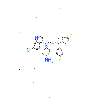 NC1CCC(N(CCCC(c2ccc(F)cc2)c2ccc(F)cc2)c2ccnc3cc(Cl)ccc23)CC1